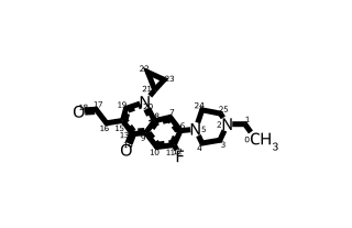 CCN1CCN(c2cc3c(cc2F)c(=O)c(CC=O)cn3C2CC2)CC1